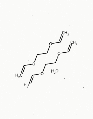 C=COCCOC=C.C=COCCOC=C.O